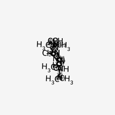 COc1cc2c(Nc3ccc(Sc4nc(C)c(C)n4C(C)C)c(Cl)c3)c(C#N)cnc2cc1NCCCN(C)C